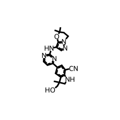 CC1(C)CCn2ncc(Nc3nccc(-c4cc(C#N)c5c(c4)C(C)(CO)CN5)n3)c2O1